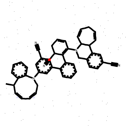 CC1/C=C\C=C/CN(c2cc(C#N)cc(-c3ccccc3C3=C(N4Cc5ccc(C#N)cc5C5C=CCC=CC54)C=CCC3C#N)c2)c2ccccc21